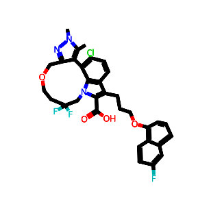 Cc1c2c(nn1C)COCCC(F)(F)Cn1c(C(=O)O)c(CCCOc3cccc4cc(F)ccc34)c3ccc(Cl)c-2c31